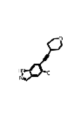 Clc1cc2cn[nH]c2cc1C#CC1CCOCC1